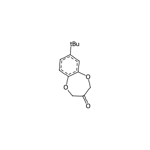 CC(C)(C)c1ccc2c(c1)OCC(=O)CO2